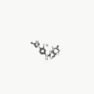 Cc1cn(-c2ccc(Nc3ncc4c(n3)N(C)C(C)CO4)cc2C#N)cn1